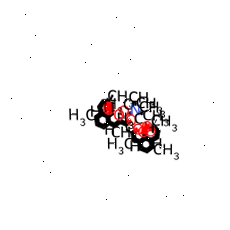 C[C@H]1[C@@H](C[C@H](OC(=O)N(C(C)(C)C)C(C)(C)C)C2O[C@@H]3O[C@]4(C)CC[C@H]5[C@H](C)CC[C@@H]([C@H]2C)[C@@]35OO4)O[C@@H]2O[C@]3(C)CC[C@H]4[C@H](C)CC[C@@H]1[C@@]24OO3